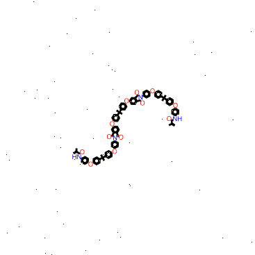 C=C(C)C(=O)Nc1ccc(Oc2ccc(C(C)(C)c3ccc(Oc4ccc(N5C(=O)c6ccc(Oc7ccc(C(C)(C)c8ccc(Oc9ccc%10c(c9)C(=O)N(c9ccc(Oc%11ccc(C(C)(C)c%12ccc(Oc%13ccc(NC(=O)C(=C)C)cc%13)cc%12)cc%11)cc9)C%10=O)cc8)cc7)cc6C5=O)cc4)cc3)cc2)cc1